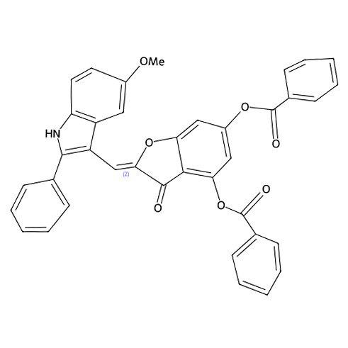 COc1ccc2[nH]c(-c3ccccc3)c(/C=C3\Oc4cc(OC(=O)c5ccccc5)cc(OC(=O)c5ccccc5)c4C3=O)c2c1